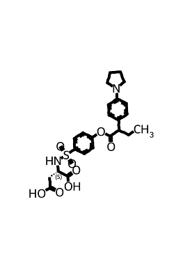 CCC(C(=O)Oc1ccc(S(=O)(=O)N[C@@H](CC(=O)O)C(=O)O)cc1)c1ccc(N2CCCC2)cc1